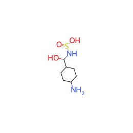 NC1CCC(C(O)NS(=O)O)CC1